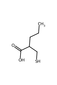 CCCC(CS)C(=O)O